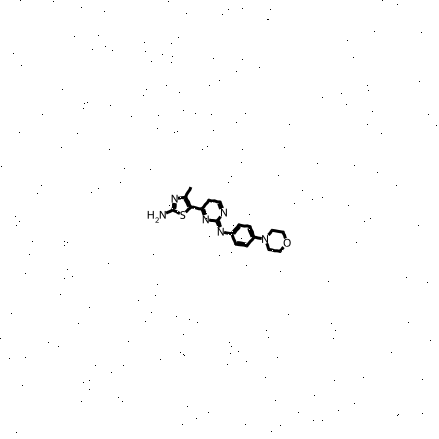 Cc1nc(N)sc1C1=N/C(=N/c2ccc(N3CCOCC3)cc2)N=CC1